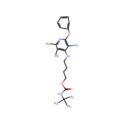 Cc1nc(Oc2ccccc2)c(N)c(NCCCCOC(=O)NC(C)(C)C)c1C